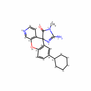 CN1C(=O)C2(N=C1N)c1ccncc1Oc1ccc(C3CCCCC3)cc12